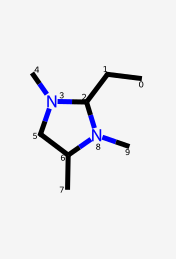 CCC1N(C)CC(C)N1C